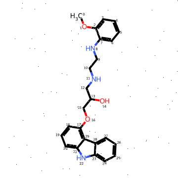 COc1ccccc1NCCNCC(O)COc1cccc2[nH]c3ccccc3c12